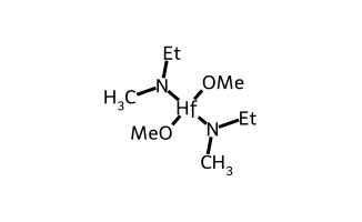 CC[N](C)[Hf]([O]C)([O]C)[N](C)CC